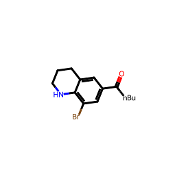 CCCCC(=O)c1cc(Br)c2c(c1)CCCN2